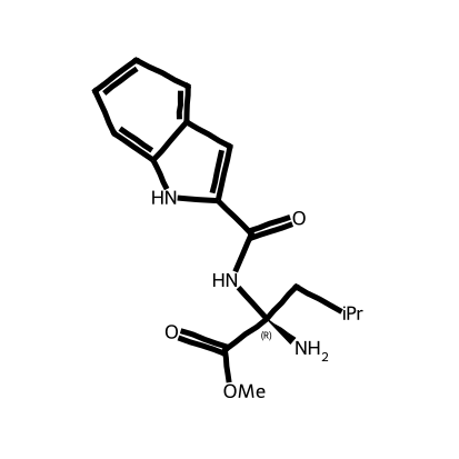 COC(=O)[C@@](N)(CC(C)C)NC(=O)c1cc2ccccc2[nH]1